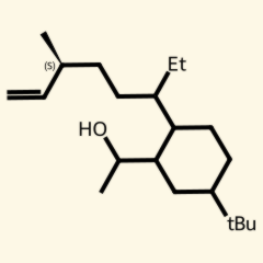 C=C[C@@H](C)CCC(CC)C1CCC(C(C)(C)C)CC1C(C)O